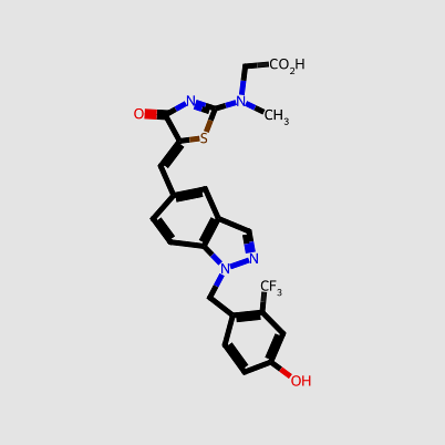 CN(CC(=O)O)C1=NC(=O)C(=Cc2ccc3c(cnn3Cc3ccc(O)cc3C(F)(F)F)c2)S1